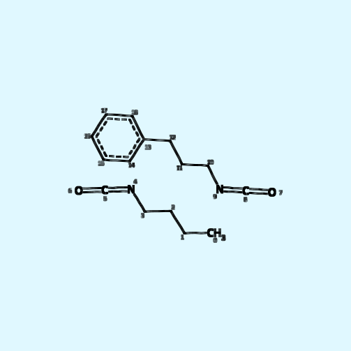 CCCCN=C=O.O=C=NCCCc1ccccc1